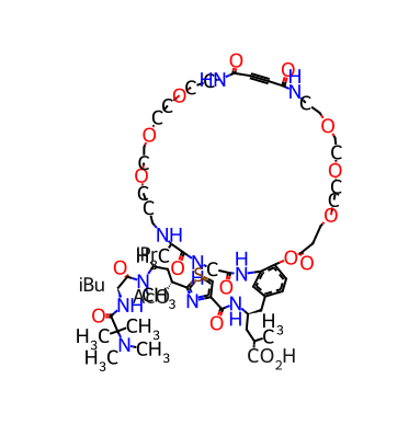 CC[C@H](C)[C@H](NC(=O)C(C)(C)N(C)C)C(=O)N(C)[C@H](C[C@@H](OC(C)=O)c1nc(C(=O)N[C@@H](Cc2ccc3c(c2)NC(=O)CNC(=O)C(C)NCCCOCCOCCOCCNC(=O)C#CC(=O)NCCOCCOCCOCCC(=O)O3)CC(C)C(=O)O)cs1)C(C)C